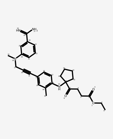 CCOC(=O)CCC(=O)C1(Nc2ccc(C#CCN(C)c3cccc(C(=N)N)c3)cc2C)CCCC1